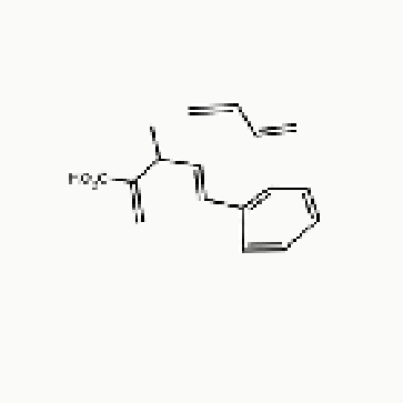 C=C(C(=O)O)C(C)C=Cc1ccccc1.C=CC=C